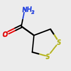 NC(=O)C1CSSC1